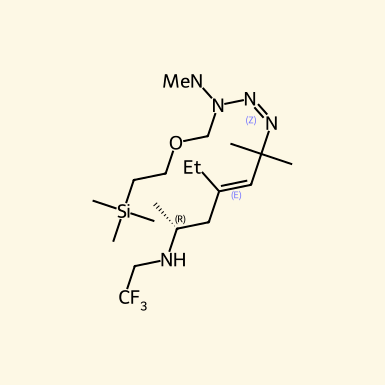 CC/C(=C\C(C)(C)/N=N\N(COCC[Si](C)(C)C)NC)C[C@@H](C)NCC(F)(F)F